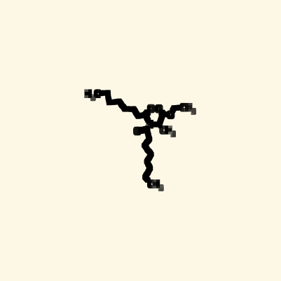 CCCCCCCC(=O)N(C(=O)CCCCCCC)[C@@H](C)C(=O)OCC